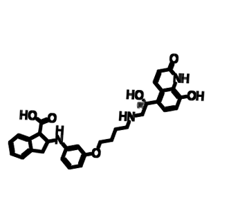 O=C(O)C1c2ccccc2CC1Nc1cccc(OCCCCNC[C@H](O)c2ccc(O)c3[nH]c(=O)ccc23)c1